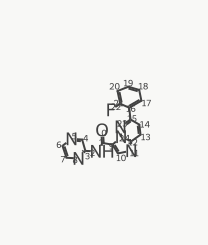 O=C(Nc1cnccn1)c1cnc2ccc(-c3ccccc3F)nn12